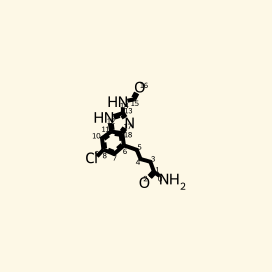 NC(=O)CCCc1cc(Cl)cc2[nH]c(NC=O)nc12